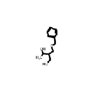 CC(O)C(CO)COCc1ccccc1